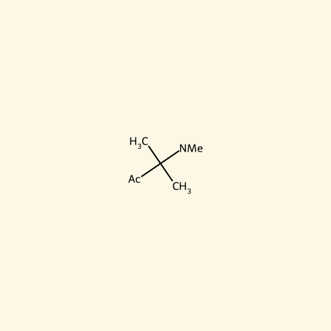 CNC(C)(C)C(C)=O